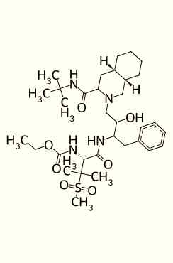 CCOC(=O)N[C@H](C(=O)NC(Cc1ccccc1)C(O)CN1C[C@H]2CCCC[C@H]2CC1C(=O)NC(C)(C)C)C(C)(C)S(C)(=O)=O